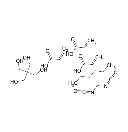 C=CC(=O)O.C=CC(=O)O.C=CC(=O)O.CCCCCC.O=C=NCN=C=O.OCC(CO)(CO)CO